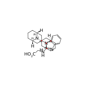 O=C(O)CNc1nc2ccccc2n1C1C[C@H]2CCC[C@@H](C1)N2[C@H]1C[C@@H]2CCC[C@@H](C2)C1